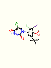 COc1c(C(C)(C)C)cc(-n2cc(F)c(=O)[nH]c2=O)c(F)c1I